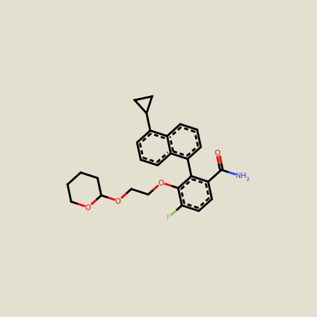 NC(=O)c1ccc(F)c(OCCOC2CCCCO2)c1-c1cccc2c(C3CC3)cccc12